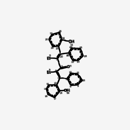 CCC(C(=O)C(CC)=C(c1ccccc1)c1ccccc1O)=C(c1ccccc1)c1ccccc1O